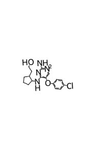 Nc1ncc(Oc2ccc(Cl)cc2)c(NC2CCCC2CCO)n1